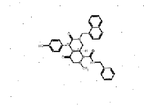 CN1CC(=O)N2[C@@H](CN(Cc3cccc4ccccc34)C(=O)[C@H]2c2ccc(O)cc2)N1C(=O)NCc1ccccc1